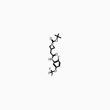 CC(C)(C)OC(=O)N1CC(CC(=O)Nc2cc(OC(F)(F)F)ccc2F)C1